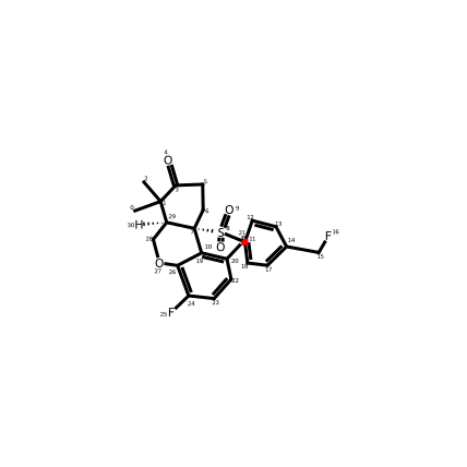 CC1(C)C(=O)CC[C@@]2(S(=O)(=O)c3ccc(CF)cc3)c3c(F)ccc(F)c3OC[C@@H]12